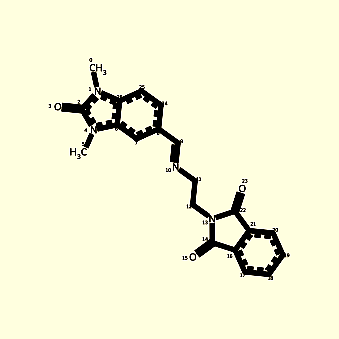 Cn1c(=O)n(C)c2cc(C=NCCN3C(=O)c4ccccc4C3=O)ccc21